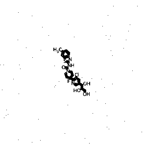 Cc1ccc2nc(NC(=O)N3CCC(F)(c4ncc([C@H](O)[C@H](O)CO)cc4Cl)CC3)sc2c1